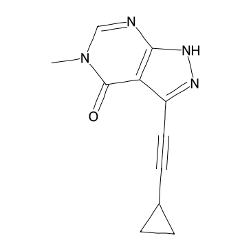 Cn1cnc2[nH]nc(C#CC3CC3)c2c1=O